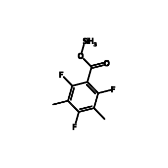 Cc1c(F)c(C)c(F)c(C(=O)O[SiH3])c1F